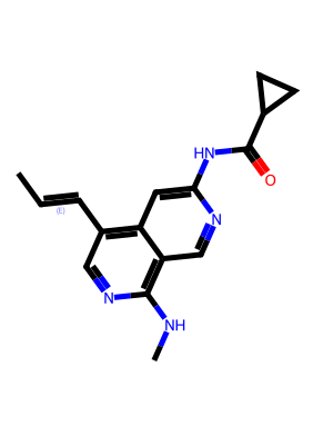 C/C=C/c1cnc(NC)c2cnc(NC(=O)C3CC3)cc12